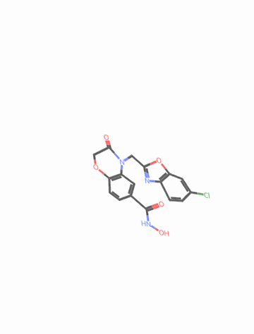 O=C(NO)c1ccc2c(c1)N(Cc1nc3ccc(Cl)cc3o1)C(=O)CO2